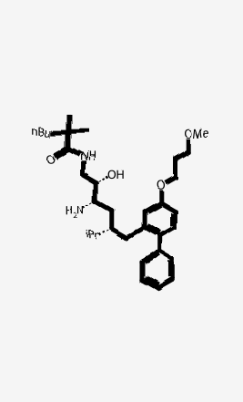 CCCCC(C)(C)C(=O)NC[C@H](O)[C@@H](N)C[C@H](Cc1cc(OCCCOC)ccc1-c1ccccc1)C(C)C